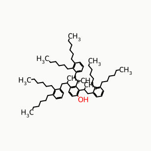 CCCCCCc1cccc(CC(C)c2ccc(O)c(C(C)Cc3cccc(CCCCCC)c3CCCCCC)c2C(C)Cc2cccc(CCCCCC)c2CCCCCC)c1CCCCCC